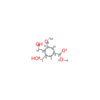 COC(=O)c1cc(CO)c(CO)c(OC)c1